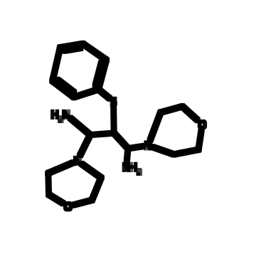 NC(C(Sc1ccccc1)C(N)N1CCOCC1)N1CCOCC1